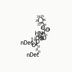 CCCCCCCCCCCCCC(=O)O[C@H](CCCCCCCCCCC)CC(=O)N[C@@H](CO)C(=O)OCc1ccccc1